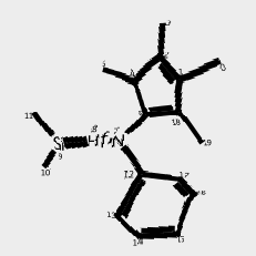 CC1=C(C)C(C)C([N]([Hf]=[Si](C)C)c2ccccc2)=C1C